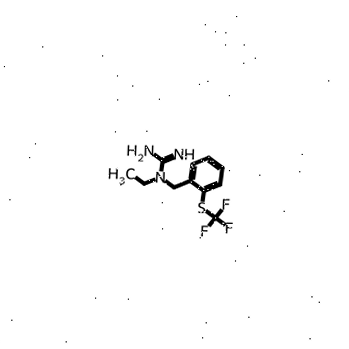 CCN(Cc1ccccc1SC(F)(F)F)C(=N)N